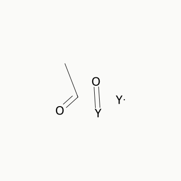 CC=O.[O]=[Y].[Y]